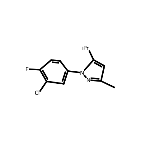 Cc1cc(C(C)C)n(-c2ccc(F)c(Cl)c2)n1